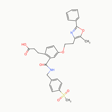 Cc1oc(-c2ccccc2)nc1CCOc1ccc(CCC(=O)O)c(C(=O)NCc2ccc(S(C)(=O)=O)cc2)c1